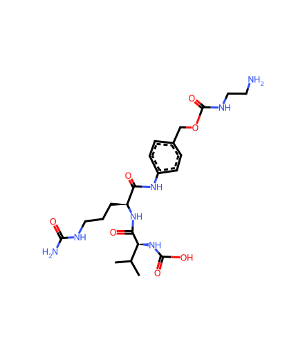 CC(C)[C@H](NC(=O)O)C(=O)N[C@@H](CCCNC(N)=O)C(=O)Nc1ccc(COC(=O)NCCN)cc1